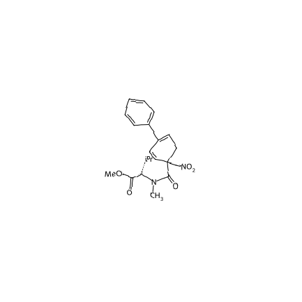 COC(=O)C(C(C)C)N(C)C(=O)C1([N+](=O)[O-])C=CC(c2ccccc2)=CC1